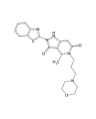 Cc1c2c(=O)n(-c3nc4ccccc4s3)[nH]c2cc(=O)n1CCCN1CCOCC1